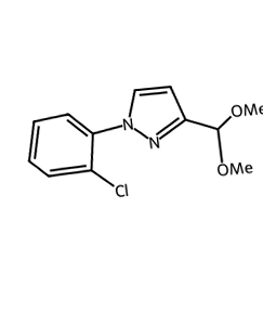 COC(OC)c1ccn(-c2ccccc2Cl)n1